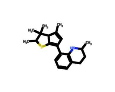 CC1=CC(c2cccc3c2NC(C)CC3)=C2SC(C)C(C)(C)C12